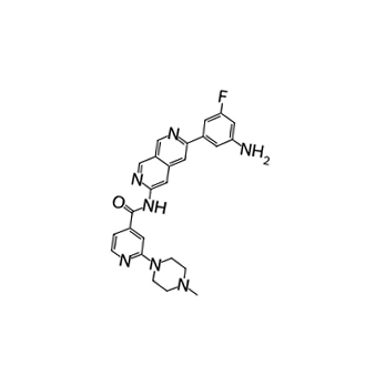 CN1CCN(c2cc(C(=O)Nc3cc4cc(-c5cc(N)cc(F)c5)ncc4cn3)ccn2)CC1